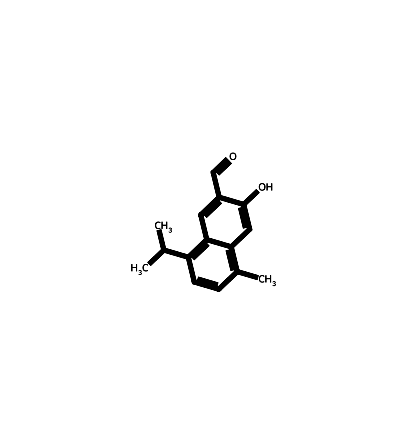 Cc1ccc(C(C)C)c2cc(C=O)c(O)cc12